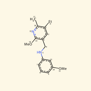 CCc1cc(CNc2cccc(OC)c2)c(OC)nc1C